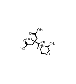 CC1CNCCN1.O=C(O)CC(O)(CC(=O)O)C(=O)O